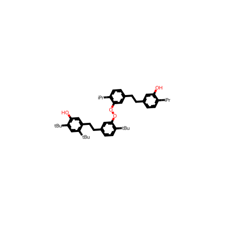 CC(C)c1ccc(CCc2ccc(C(C)C)c(OOc3cc(CCc4cc(O)c(C(C)(C)C)cc4C(C)(C)C)ccc3C(C)(C)C)c2)cc1O